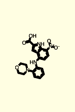 O=C(O)c1cc2c(Nc3ccccc3N3CCOCC3)ccc([N+](=O)[O-])c2[nH]1